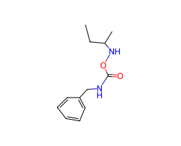 CCC(C)NOC(=O)NCc1ccccc1